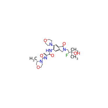 C[C@H]1COCCN1c1nc(C(=O)Nc2cc3c(cc2N2CCOCC2)C(=O)N(CC(F)C(C)(C)O)C3)co1